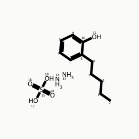 CCCCCc1ccccc1O.N.N.O=S(=O)(O)O